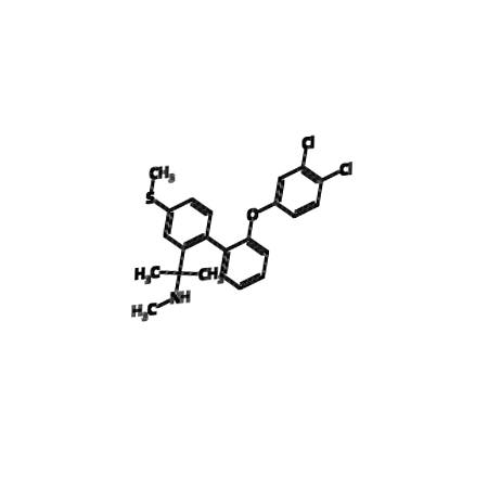 CNC(C)(C)c1cc(SC)ccc1-c1ccccc1Oc1ccc(Cl)c(Cl)c1